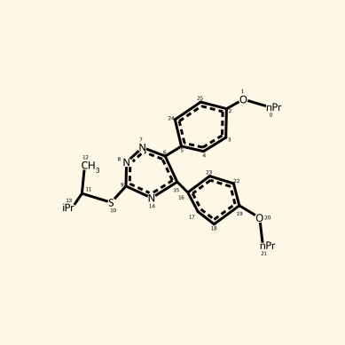 CCCOc1ccc(-c2nnc(SC(C)C(C)C)nc2-c2ccc(OCCC)cc2)cc1